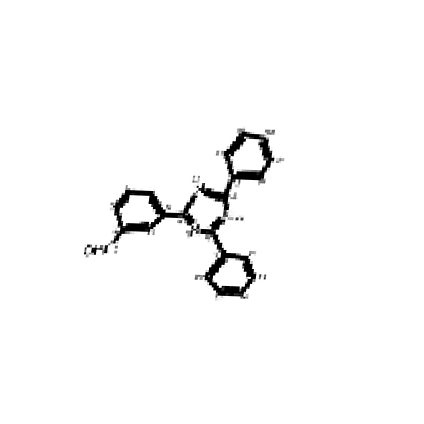 O=Cc1cccc(-c2nc(-c3ccccc3)nc(-c3ccccc3)n2)c1